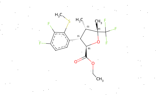 CCOC(=O)[C@@H]1O[C@@](C)(C(F)(F)F)[C@@H](C)[C@H]1c1ccc(F)c(F)c1SC